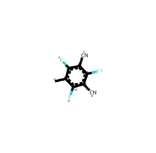 Cc1c(F)c(C#N)c(F)c(C#N)c1F